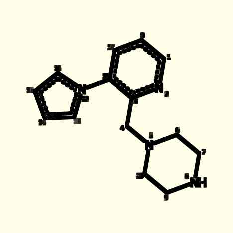 c1cnc(CN2CCNCC2)c(-n2cccc2)c1